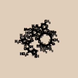 CC1(C)S[C@@H]2[C@H](NC(=O)[C@H](C(=O)O)c3ccsc3)C(=O)N2[C@H]1C(=O)O.CC[C@H]1OC(=O)[C@H](C)[C@@H](O[C@H]2C[C@@](C)(OC)[C@@H](O)[C@H](C)O2)[C@H](C)[C@@H](O[C@@H]2O[C@H](C)C[C@H](N(C)C)[C@H]2O)[C@](C)(OC)C[C@@H](C)C(=O)[C@H](C)[C@@H](O)[C@]1(C)O.[KH]